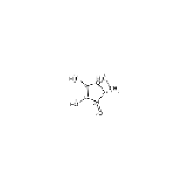 CC.CC1=C(O)C(=O)CO1